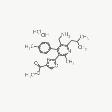 COC(=O)c1coc(-c2c(C)nc(CC(C)C)c(CN)c2-c2ccc(C)cc2)n1.Cl.Cl